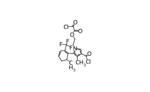 Cc1c(C(=O)Cl)cn(CCOC(=O)C(=O)Cl)c1C1=C(C(F)(F)F)C=CCC1C